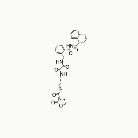 C[C@@H](NC(=O)c1ccccc1CNC(=O)C(=O)NCC/C=C/C(=O)N1CCOC1=O)c1cccc2ccccc12